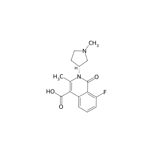 Cc1c(C(=O)O)c2cccc(F)c2c(=O)n1[C@@H]1CCN(C)C1